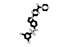 O=C(c1cnc(-n2ccc3cc(NS(=O)(=O)c4cc(Cl)cc(Cl)c4)ccc32)cn1)N1CCOCC1